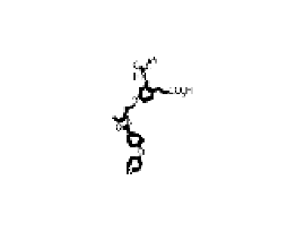 Cc1oc(-c2ccc(Oc3ccncc3)cc2)nc1CCOc1ccc(CCC(=O)O)c(CNC(=O)OC(C)C)c1